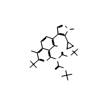 Cn1ncc(-c2ccc3c(I)c(C(C)(C)C)nc(N(C(=O)OC(C)(C)C)C(=O)OC(C)(C)C)c3c2F)c1C1CC1